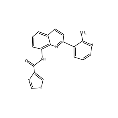 Cc1ncccc1-c1ccc2cccc(NC(=O)c3cscn3)c2n1